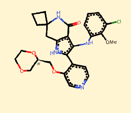 COc1c(Cl)cccc1Nc1c(-c2ccncc2OC[C@H]2COCCO2)[nH]c2c1C(=O)NC1(CCC1)C2